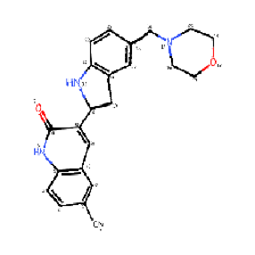 N#Cc1ccc2[nH]c(=O)c(C3Cc4cc(CN5CCOCC5)ccc4N3)cc2c1